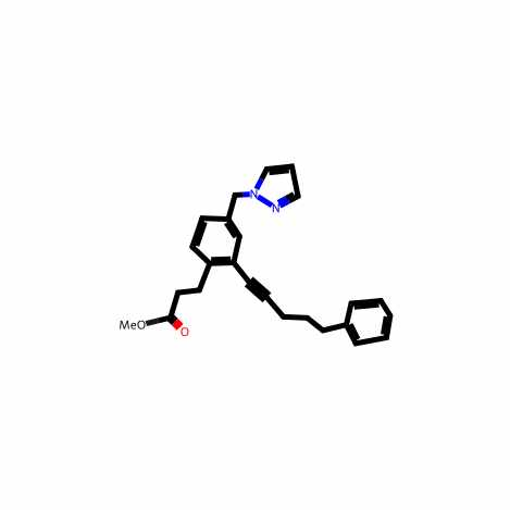 COC(=O)CCc1ccc(Cn2cccn2)cc1C#CCCCc1ccccc1